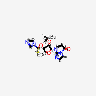 CC[C@H]1O[C@@H](n2ccc(=O)n3ccnc23)[C@H](O[Si](C)(C)C(C)(C)C)[C@@H]1OC(=S)n1ccnc1